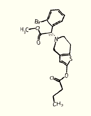 CCCC(=O)Oc1cc2c(s1)CCN([C@H](C(=O)OC)c1ccccc1Br)C2